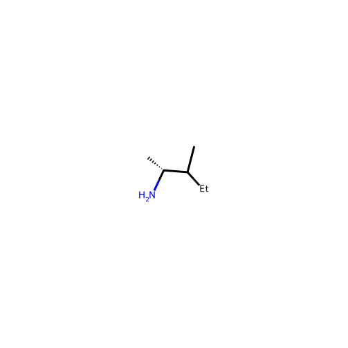 CCC(C)[C@@H](C)N